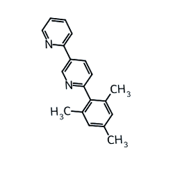 Cc1cc(C)c(-c2ccc(-c3ccccn3)cn2)c(C)c1